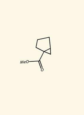 COC(=O)C12CCCC1C2